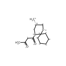 CC(=O)CC(=O)N1C[C@H](C)COC12CCCCC2